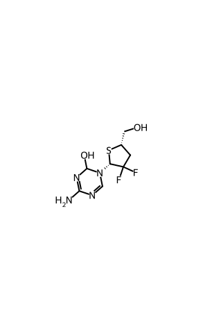 NC1=NC(O)N([C@@H]2S[C@H](CO)CC2(F)F)C=N1